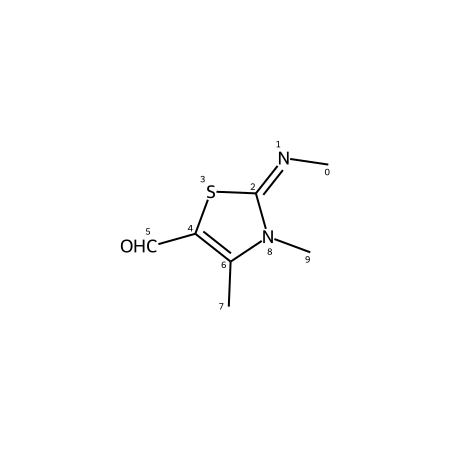 CN=c1sc(C=O)c(C)n1C